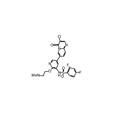 CNCCOc1ncc(-c2ccc3ncc(Cl)c(=O)n3c2)cc1NS(=O)(=O)c1ccc(F)cc1F